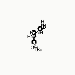 CC(C)(C)OC(=O)N1CC=C(C2Cc3c(Nc4ccc5[nH]ncc5c4)ccnc3N2)CC1